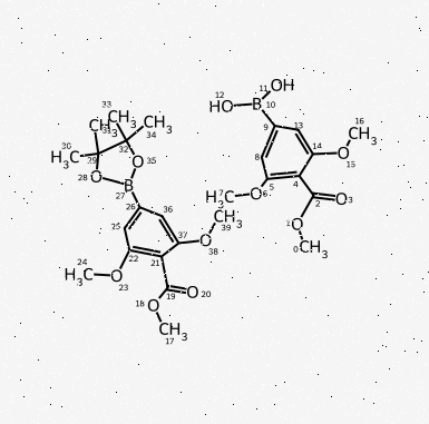 COC(=O)c1c(OC)cc(B(O)O)cc1OC.COC(=O)c1c(OC)cc(B2OC(C)(C)C(C)(C)O2)cc1OC